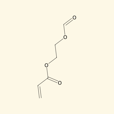 C=CC(=O)OCCOC=O